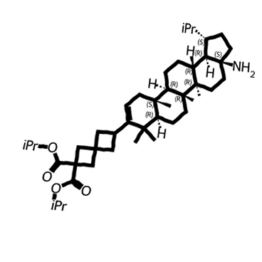 CC(C)OC(=O)C1(C(=O)OC(C)C)CC2(CC(C3=CC[C@]4(C)[C@H]5CC[C@@H]6[C@H]7[C@H](C(C)C)CC[C@]7(N)CC[C@@]6(C)[C@]5(C)CC[C@H]4C3(C)C)C2)C1